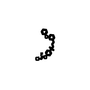 CC(C)(CCCc1cccc(Oc2ccccc2)c1)c1ccc(OC(F)=CCl)cc1